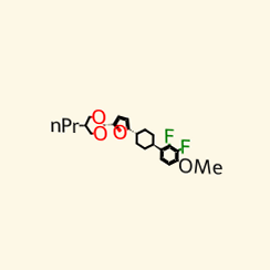 CCC[C@H]1CO[C@H](c2ccc([C@H]3CC[C@H](c4ccc(OC)c(F)c4F)CC3)o2)OC1